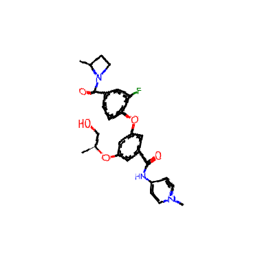 CC1CCN1C(=O)c1ccc(Oc2cc(O[C@@H](C)CO)cc(C(=O)NC3=C=CN(C)C=C3)c2)c(F)c1